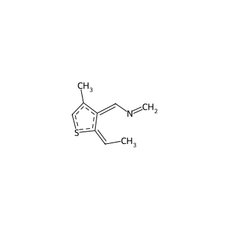 C=N/C=c1/c(C)cs/c1=C/C